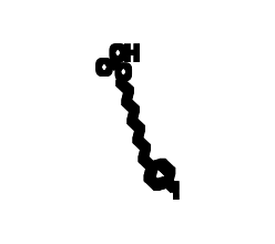 O=C(O)OCCCCCCCCCc1ccc(I)cc1